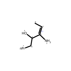 C/C=C(/N)C(O)CCCC